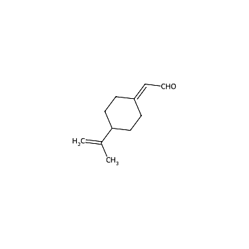 C=C(C)C1CCC(=CC=O)CC1